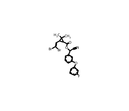 CC1(C)C(C=C(Br)Br)C1C(=O)OC(C#N)c1cccc(Oc2cccc(F)c2)c1